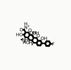 C[C@@H]1c2ccc(-c3ccc(F)cc3)c(O)c2C(=O)C2=C(O)[C@]3(O)C(=O)C(C(N)=O)=C(O)[C@H](N(C)C)[C@H]3[C@H](O)[C@H]21